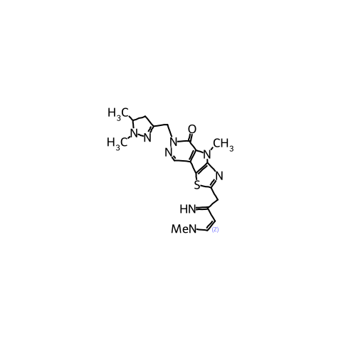 CN/C=C\C(=N)Cc1nc2c(s1)c1cnn(CC3=NN(C)C(C)C3)c(=O)c1n2C